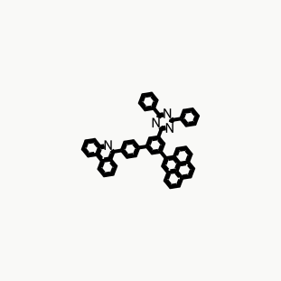 c1ccc(-c2nc(-c3ccccc3)nc(-c3cc(-c4ccc(-c5nc6ccccc6c6ccccc56)cc4)cc(-c4cc5cccc6ccc7cccc4c7c65)c3)n2)cc1